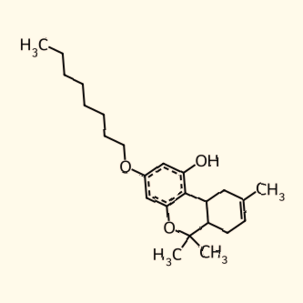 CCCCCCCCOc1cc(O)c2c(c1)OC(C)(C)C1CC=C(C)CC21